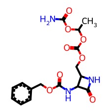 CC(OC(N)=O)OC(=O)OCC1NC(=O)C1NC(=O)OCc1ccccc1